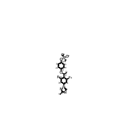 Cc1ncn(-c2cc(F)c(C(C)Oc3ccc(OS(=O)(=O)F)cc3)c(F)c2)n1